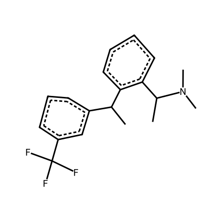 CC(c1cccc(C(F)(F)F)c1)c1ccccc1C(C)N(C)C